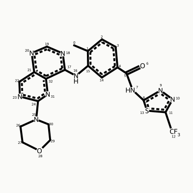 Cc1ccc(C(=O)Nc2nnc(C(F)(F)F)s2)cc1Nc1ncnc2cnc(N3CCOCC3)nc12